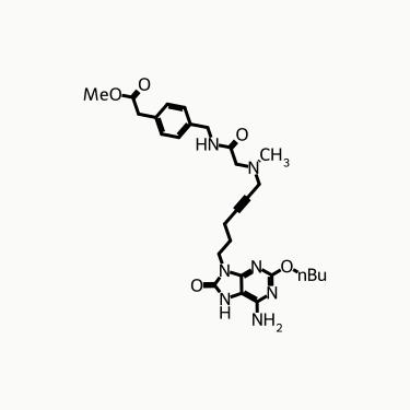 CCCCOc1nc(N)c2[nH]c(=O)n(CCCC#CCN(C)CC(=O)NCc3ccc(CC(=O)OC)cc3)c2n1